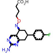 Nc1ncc2c(n1)CC(c1ccc(F)cc1)CC2=NOCCCC(=O)O